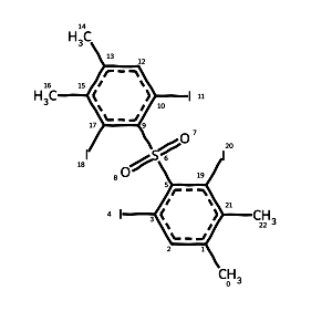 Cc1cc(I)c(S(=O)(=O)c2c(I)cc(C)c(C)c2I)c(I)c1C